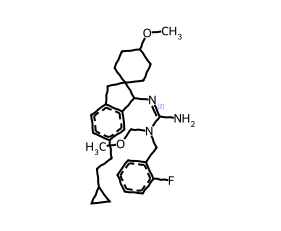 COCN(Cc1ccccc1F)/C(N)=N\C1c2cc(CCC3CC3)ccc2CC12CCC(OC)CC2